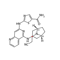 N#CCCN1[C@@H]2CC[C@H]1CC(Nc1nc(Nc3ncc(C(N)=O)s3)cc3ncccc13)C2